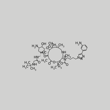 CC[C@H]1OC(=O)[C@H](C)C(=O)[C@H](C)[C@@H](O[C@@H]2O[C@H](CNC(=O)CNC(C)(C)C)CC(N)C2O)[C@](C)(OC)C[C@@H](C)CN[C@H](C)[C@H]2N(CCCCn3cc(-c4cccc(N)c4)nn3)C(=O)O[C@]12C